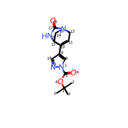 CC(C)(C)OC(=O)n1cc(C2=CCN3CC2NC3=O)cn1